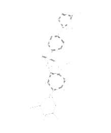 COc1ccc(N2CC(C)NC(C)C2)cc1NS(=O)(=O)c1ccc(-c2ccc(C)s2)cc1